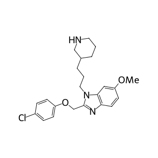 COc1ccc2nc(COc3ccc(Cl)cc3)n(CCCC3CCCNC3)c2c1